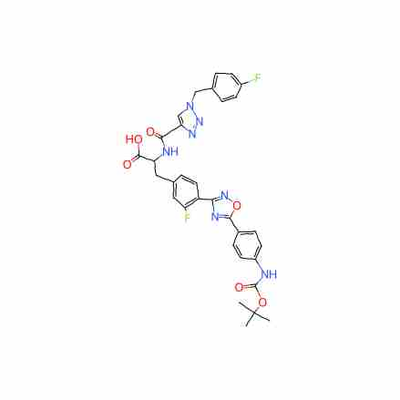 CC(C)(C)OC(=O)Nc1ccc(-c2nc(-c3ccc(CC(NC(=O)c4cn(Cc5ccc(F)cc5)nn4)C(=O)O)cc3F)no2)cc1